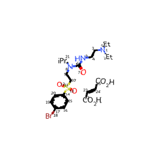 CCN(CC)CCNC(=O)N(CCS(=O)(=O)c1ccc(Br)cc1)C(C)C.O=C(O)C=CC(=O)O